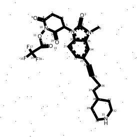 Cn1c(=O)n(C2CCC(=O)N(OC(=O)C(F)(F)F)C2=O)c2ccc(C#CCCC3CCNCC3)cc21